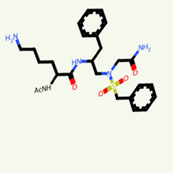 CC(=O)NC(CCCCN)C(=O)NC(Cc1ccccc1)CN(CC(N)=O)S(=O)(=O)Cc1ccccc1